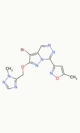 Cc1cc(-c2nncc3c(Br)c(OCc4ncnn4C)nn23)no1